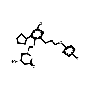 O=C1C[C@H](O)C[C@@H](COc2c(CCCOc3ccc(F)cc3)cc(Cl)cc2C2CCCC2)O1